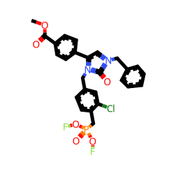 COC(=O)c1ccc(-c2cn(Cc3ccccc3)c(=O)n2Cc2ccc(CP(=O)(OF)OF)c(Cl)c2)cc1